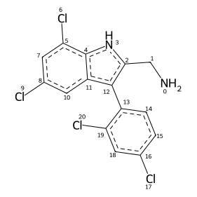 NCc1[nH]c2c(Cl)cc(Cl)cc2c1-c1ccc(Cl)cc1Cl